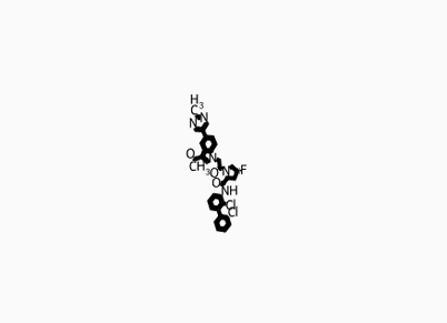 CC(=O)c1cn(CC(=O)N2C[C@H](F)CC2C(=O)Nc2cccc(-c3ccccc3Cl)c2Cl)c2ccc(-c3cnc(C)nc3)cc12